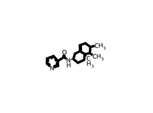 CC1CC=C2C[C@@H](NC(=O)c3cccnc3)CC[C@]2(C)C1C